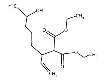 C=CC(CCCC(C)O)C(C(=O)OCC)C(=O)OCC